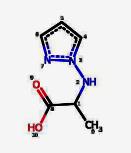 CC(Nn1cccn1)C(=O)O